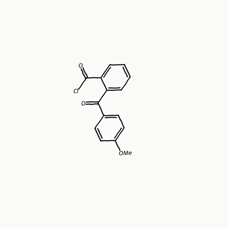 COc1ccc(C(=O)c2ccccc2C(=O)Cl)cc1